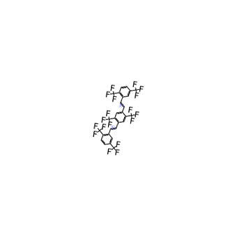 FC(F)(F)c1ccc(C(F)(F)F)c(/C=C/c2cc(C(F)(F)F)c(/C=C/c3cc(C(F)(F)F)ccc3C(F)(F)F)cc2C(F)(F)F)c1